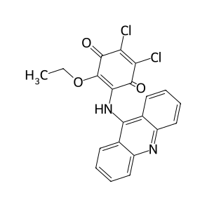 CCOC1=C(Nc2c3ccccc3nc3ccccc23)C(=O)C(Cl)=C(Cl)C1=O